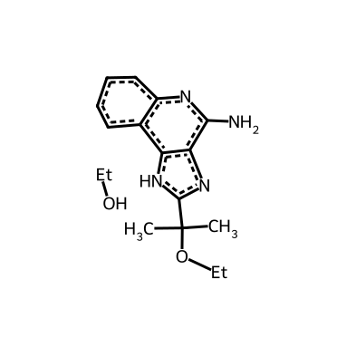 CCO.CCOC(C)(C)c1nc2c(N)nc3ccccc3c2[nH]1